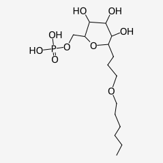 CCCCCCOCCCC1OC(COP(=O)(O)O)C(O)C(O)C1O